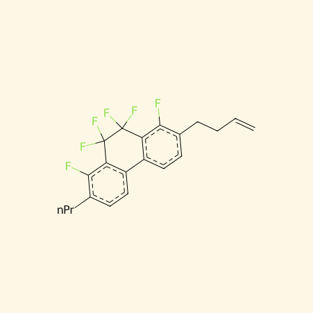 C=CCCc1ccc2c(c1F)C(F)(F)C(F)(F)c1c-2ccc(CCC)c1F